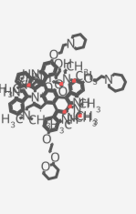 CCN(CC)C(=O)COc1[nH]c2ccccc2c1[N+]1(c2c[nH]c3ccccc23)C(CN(C)C)=[C]c2c(-c3c(CN(C)C)[nH]c4cc(OCCOC5CCCCO5)ccc34)c(-c3c(CN(C)C)[nH]c4cc(OCCN5CCCCCC5)ccc34)c(OCCO)c(-c3c(CN(C)C)[nH]c4cc(OCCN5CCCCC5)ccc34)c21